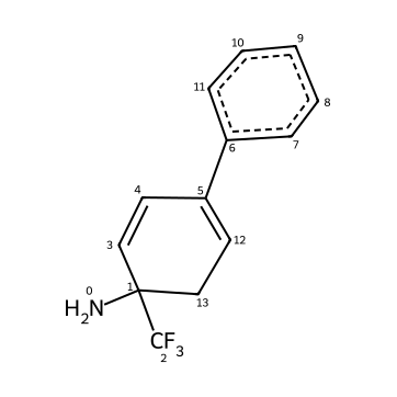 NC1(C(F)(F)F)C=CC(c2ccccc2)=CC1